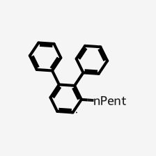 CCCCCc1[c]ccc(-c2ccccc2)c1-c1ccccc1